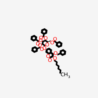 CCCCCCCCOc1c(OCc2ccccc2)c2ccc(O[C@@H]3O[C@H](COC(=O)c4ccccc4)[C@H](OC(=O)c4ccccc4)[C@H](OC(=O)c4ccccc4)[C@H]3OC(=O)c3ccccc3)cc2oc1=O